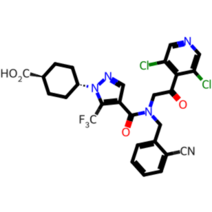 N#Cc1ccccc1CN(CC(=O)c1c(Cl)cncc1Cl)C(=O)c1cnn([C@H]2CC[C@H](C(=O)O)CC2)c1C(F)(F)F